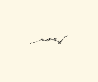 CCCCCCCCCCCC[N+](C)(C)CCCCC(C)(C)[N+](C)(C)CCCCC(C)(C)[N+](C)(C)CCCC[N+](C)(C)CCCCCCCCCCCC